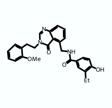 CCc1cc(C(=O)NCc2cccc3ncn(CCc4ccccc4OC)c(=O)c23)ccc1O